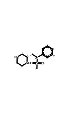 CS(=O)(=O)N(C[C@H]1CNCCN1)c1ccccc1